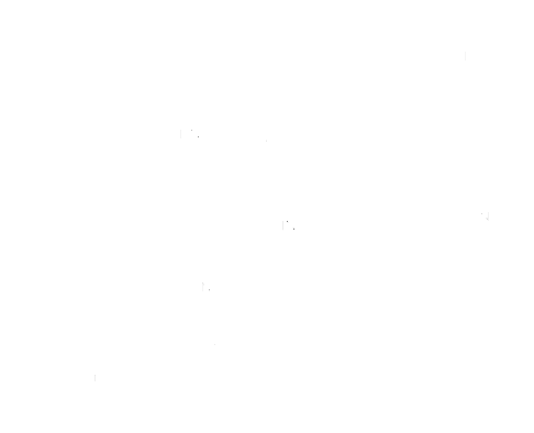 CCOc1c(C(N)=O)cc([C@@](O)(CNC(=O)c2cc(OC(F)F)c3ncc(C)cc3c2)C2CC2)nc1-c1ccc(F)c(Br)c1F